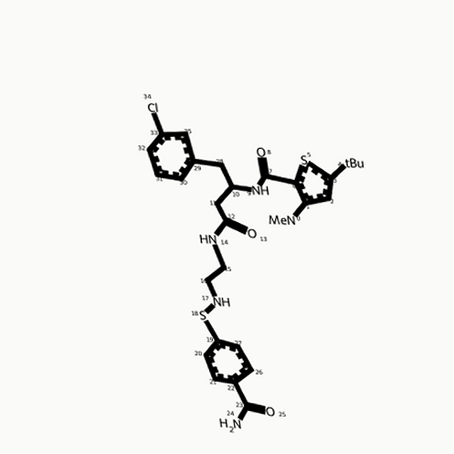 CNc1cc(C(C)(C)C)sc1C(=O)NC(CC(=O)NCCNSc1ccc(C(N)=O)cc1)Cc1cccc(Cl)c1